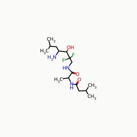 CC(C)CC(=O)NC(C)C(=O)NCC(F)(F)C(O)C(N)CC(C)C